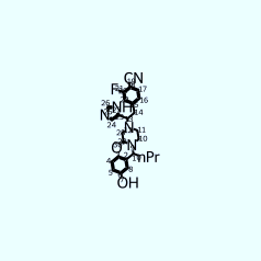 CCCC(c1cccc(O)c1)N1CCN(C(Cc2ccc(C#N)c(F)c2)c2cnc[nH]2)CC1=O